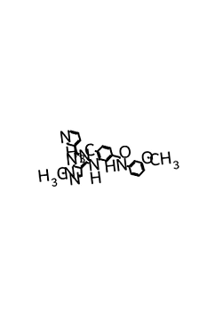 COc1cccc(NC(=O)c2ccc(C)c(Nc3nc(-c4cccnc4)nc4c3cnn4C)c2)c1